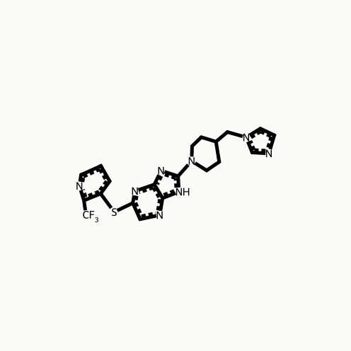 FC(F)(F)c1ncccc1Sc1cnc2[nH]c(N3CCC(Cn4ccnc4)CC3)nc2n1